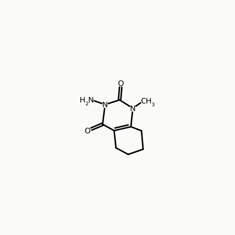 Cn1c2c(c(=O)n(N)c1=O)CCCC2